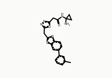 Cc1cccc(-c2ccc3nc(Cc4nnc(CC(=O)NC5(N)CC5)o4)sc3c2)c1